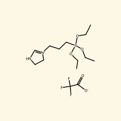 CCO[Si](CCC[N+]1=CNCC1)(OCC)OCC.O=C([O-])C(F)(F)F